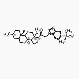 C[C@H]1CCC2(F)C(CC[C@@H]3C2CC[C@@]2(C)C3CC[C@@H]2C(=O)Cn2cnc3cc(C(C)(C)O)ccc32)C1